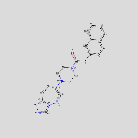 O=C(Cc1ccc2ccccc2c1)N1CCN(C2=C=Nn3cnnc3C=C2)CC1